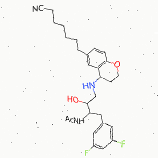 CC(=O)NC(Cc1cc(F)cc(F)c1)C(O)CNC1CCOc2ccc(CCCCCCC#N)cc21